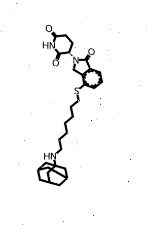 O=C1CC[C@H](N2Cc3c(SCCCCCCCNC45CC6CC(CC(C6)C4)C5)cccc3C2=O)C(=O)N1